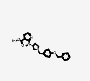 CC(C)OC(=O)c1cccnc1N(C)[C@H]1CCN(Cc2ccc(OCc3ccccc3)cc2)C1